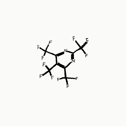 FC(F)(F)c1nc(C(F)(F)F)c(C(F)(F)F)c(C(F)(F)F)n1